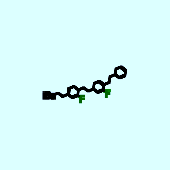 CCC(C)CCC1=CCC(CCC2C=C(F)C(CCC3C=CC=CC3)=CC2)C(F)=C1